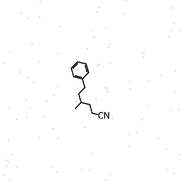 CC(CCC#N)CCc1ccccc1